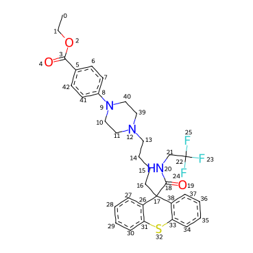 CCOC(=O)c1ccc(N2CCN(CCCCC3(C(=O)NCC(F)(F)F)c4ccccc4Sc4ccccc43)CC2)cc1